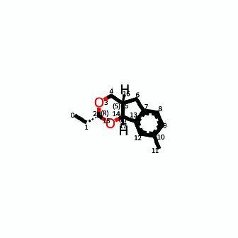 CC[C@@H]1OC[C@@H]2Cc3ccc(C)cc3[C@@H]2O1